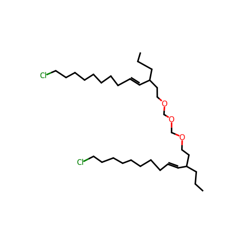 CCCC(C=CCCCCCCCCCl)CCOCOCOCCC(C=CCCCCCCCCCl)CCC